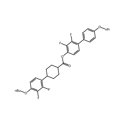 CCCCOc1ccc(C2CCC(C(=O)Oc3ccc(-c4ccc(OCCC)cc4)c(F)c3F)CC2)c(F)c1F